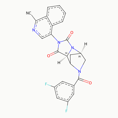 N#Cc1ncc(N2C(=O)[C@@H]3C4C[C@H](CN4C(=O)c4cc(F)cc(F)c4)N3C2=O)c2ccccc12